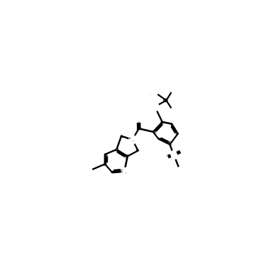 CC(C)(Oc1ccc(S(C)(=O)=O)cc1C(=O)N1Cc2cc(C(F)(F)F)cnc2C1)C(F)(F)F